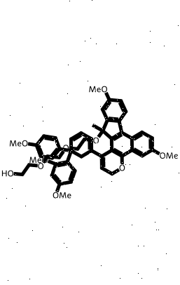 COc1ccc(C2(c3ccc(OC)cc3OC)C=CC=C(C3=CCOc4c3c3c(c5ccc(OC)cc45)-c4ccc(OC)cc4C3(C)OCCOCCOCCO)C2)cc1